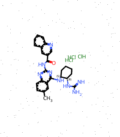 Cc1ccc2nc(NC(=O)c3cnc4ccccc4c3)nc(N[C@H]3CCCC[C@H]3NC(=N)N)c2c1.Cl.Cl.Cl